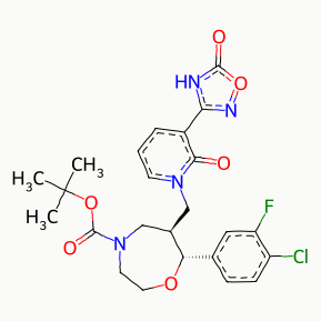 CC(C)(C)OC(=O)N1CCO[C@@H](c2ccc(Cl)c(F)c2)[C@H](Cn2cccc(-c3noc(=O)[nH]3)c2=O)C1